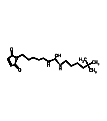 CC(C)(C)CCCCNC(O)NCCCCCN1C(=O)C=CC1=O